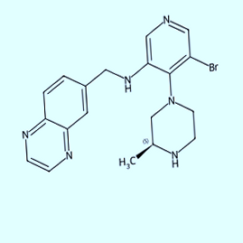 C[C@H]1CN(c2c(Br)cncc2NCc2ccc3nccnc3c2)CCN1